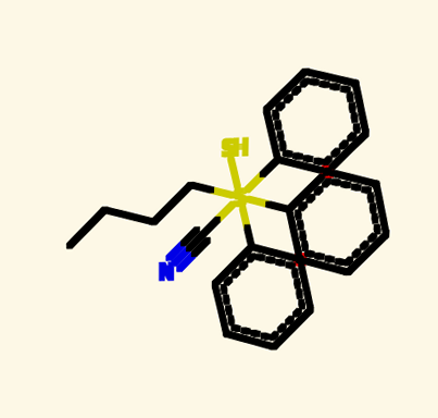 CCCCS(S)(C#N)(c1ccccc1)(c1ccccc1)c1ccccc1